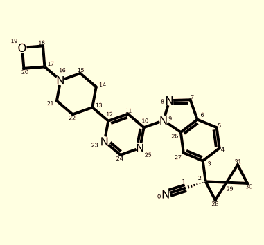 N#C[C@@]1(c2ccc3cnn(-c4cc(C5CCN(C6COC6)CC5)ncn4)c3c2)CC12CC2